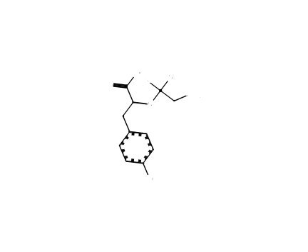 CCC(N)(N)NC(Cc1ccc(O)cc1)C(=O)O